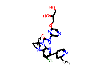 Cc1cc(-c2nc3c(cc2Cl)N2CC[C@@H](C2)N3C(=O)Nc2cncc(OCC(O)CO)n2)ccn1